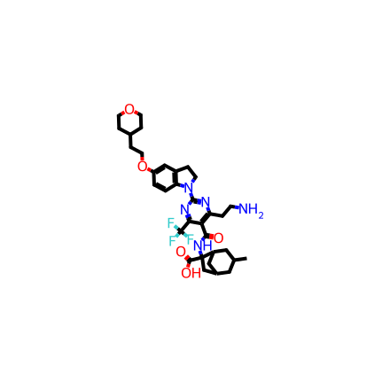 CC1CC2CC(C1)C(NC(=O)c1c(CCN)nc(N3CCc4cc(OCCC5CCOCC5)ccc43)nc1C(F)(F)F)(C(=O)O)C2